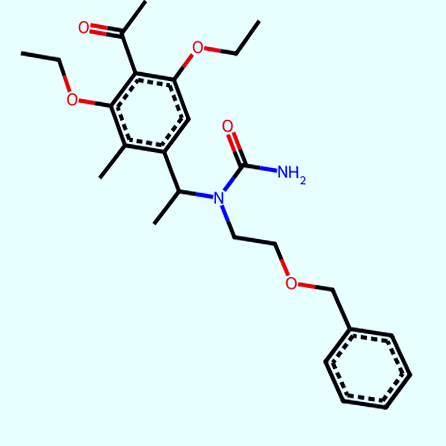 CCOc1cc(C(C)N(CCOCc2ccccc2)C(N)=O)c(C)c(OCC)c1C(C)=O